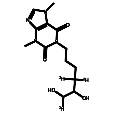 [2H]C(O)C(O)C([2H])([2H])CCCn1c(=O)c2c(ncn2C)n(C)c1=O